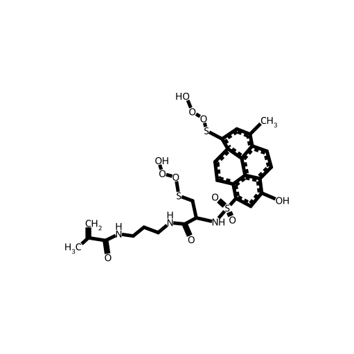 C=C(C)C(=O)NCCCNC(=O)C(CSOOO)NS(=O)(=O)c1cc(O)c2ccc3c(C)cc(SOOO)c4ccc1c2c34